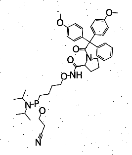 COc1ccc(C(C(=O)N2CCC[C@H]2C(=O)NOCCCCP(OCCC#N)N(C(C)C)C(C)C)(c2ccccc2)c2ccc(OC)cc2)cc1